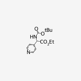 CCOC(=O)C(NC(=O)OC(C)(C)C)c1ccncc1